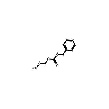 NOCOC(=O)OCc1ccccc1